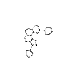 c1ccc(-c2ccc3ccc4ccc5c(-c6ccccc6)noc5c4c3c2)cc1